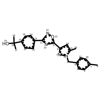 Cc1ccc(Cn2nc(-c3nc(-c4ccc(C(C)(C)O)cc4)no3)cc2C)cc1